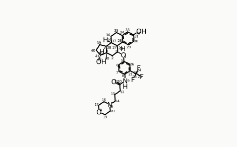 C[C@]12C[C@H](Oc3ccc(NC(=O)CCCN4CCOCC4)c(C(F)(F)F)c3)[C@@H]3c4ccc(O)cc4CC[C@H]3[C@@H]1CC[C@@H]2O